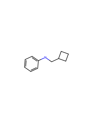 c1ccc([N]CC2CCC2)cc1